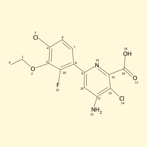 CCOc1c(Cl)ccc(-c2cc(N)c(Cl)c(C(=O)O)n2)c1F